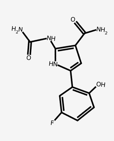 NC(=O)Nc1[nH]c(-c2cc(F)ccc2O)cc1C(N)=O